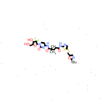 CC(C)(CCC(=O)Nc1ncc(SCc2cnc(C(C)(C)C)o2)s1)C(=O)Nc1ccn([C@@H]2OC(CO)[C@H](O)C2(F)F)c(=O)n1